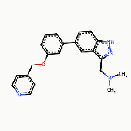 CN(C)Cc1n[nH]c2ccc(-c3cccc(OCc4ccncc4)c3)cc12